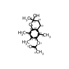 CC(=O)Oc1c(C)c(C)c2c(c1C)CCC(C)(O)O2